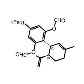 C=C(C)[C@@H]1CCC(C)=C[C@H]1c1c(OC=O)cc(CCCCC)cc1OC=O